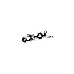 COC(=O)c1ccc(C2=N/C(=C/c3cccs3)C(=O)O2)cc1